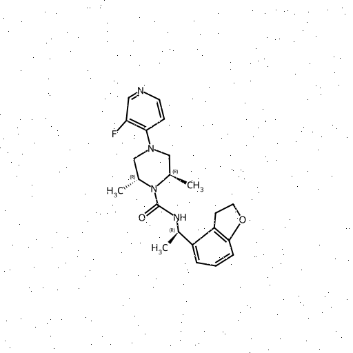 C[C@@H]1CN(c2ccncc2F)C[C@@H](C)N1C(=O)N[C@H](C)c1cccc2c1CCO2